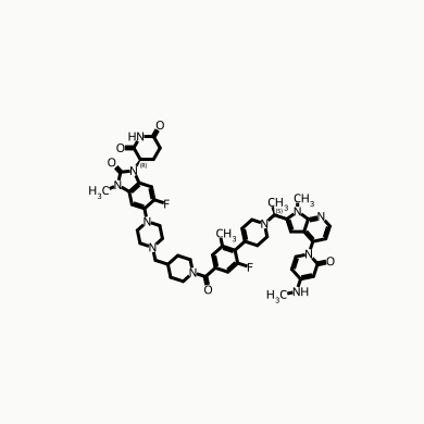 CNc1ccn(-c2ccnc3c2cc([C@H](C)N2CC=C(c4c(C)cc(C(=O)N5CCC(CN6CCN(c7cc8c(cc7F)n([C@@H]7CCC(=O)NC7=O)c(=O)n8C)CC6)CC5)cc4F)CC2)n3C)c(=O)c1